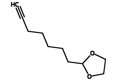 C#CCCCCCC1OCCO1